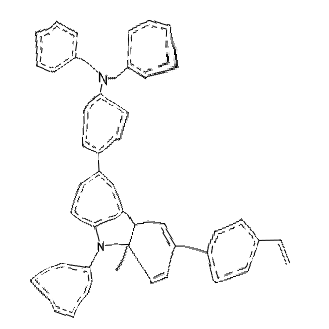 C=Cc1ccc(C2=CC3c4cc(-c5ccc(N(c6ccccc6)c6ccccc6)cc5)ccc4N(c4ccccc4)C3(C)C=C2)cc1